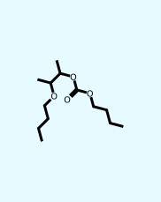 CCCCOC(=O)OC(C)C(C)OCCCC